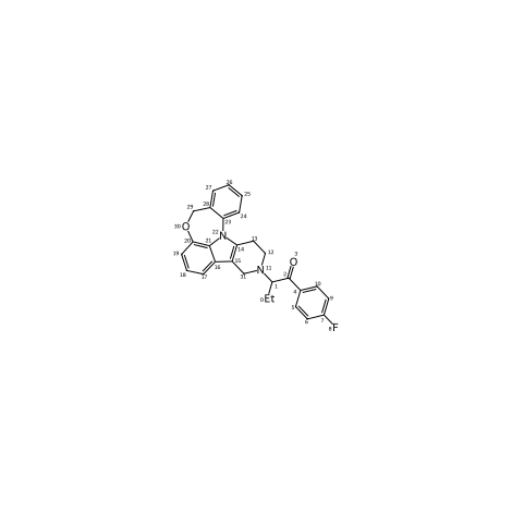 CCC(C(=O)c1ccc(F)cc1)N1CCc2c(c3cccc4c3n2-c2ccccc2CO4)C1